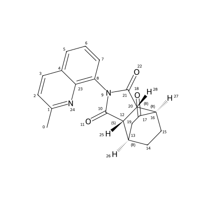 Cc1ccc2cccc(N3C(=O)[C@H]4[C@@H]5CC[C@@H](C(=O)C5)[C@H]4C3=O)c2n1